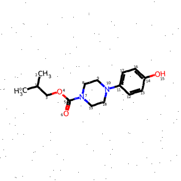 CC(C)COC(=O)N1CCN(c2ccc(O)cc2)CC1